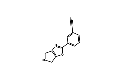 N#Cc1cccc(-c2nc3c(o2)CNC3)c1